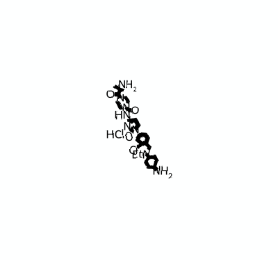 CCN(Cc1ccc(-n2ccc(NC(=O)N3CCN(C(=O)C(C)(C)N)CC3)nc2=O)cc1Cl)C1CCC(N)CC1.Cl